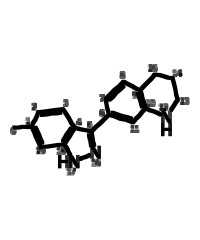 Cc1ccc2c(-c3ccc4c(c3)NCCC4)n[nH]c2c1